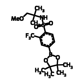 COCC(C)(C)NS(=O)(=O)c1ccc(B2OC(C)(C)C(C)(C)O2)cc1C(F)(F)F